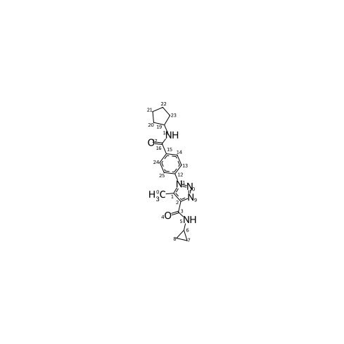 Cc1c(C(=O)NC2CC2)nnn1-c1ccc(C(=O)NC2CCCC2)cc1